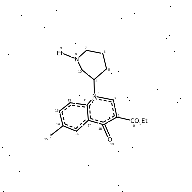 CCOC(=O)c1cn(C2CCCN(CC)C2)c2ccc(I)cc2c1=O